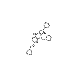 Cn1nc(Nc2ccc(OCc3ccccc3)nc2OCc2ccccc2)cc1-c1ccccc1